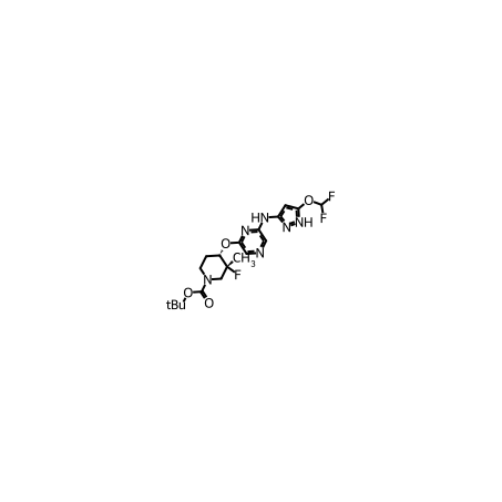 CC(C)(C)OC(=O)N1CC[C@H](Oc2cncc(Nc3cc(OC(F)F)[nH]n3)n2)[C@](C)(F)C1